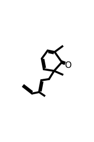 C=C/C(C)=C/CC1(C)C=CC=C(C)C1=O